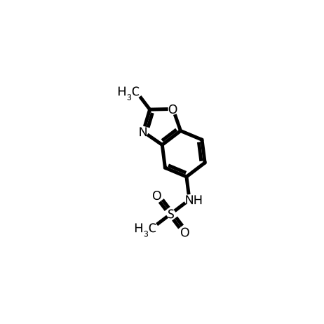 Cc1nc2cc(NS(C)(=O)=O)ccc2o1